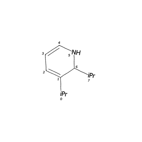 CC(C)C1=CC=CNC1C(C)C